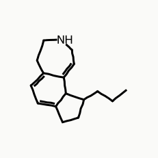 CCCC1CCC2=CC=C3CCNCC=C3C21